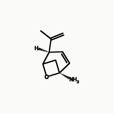 C=C(C)[C@H]1C=C[C@]2(N)CC1O2